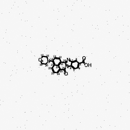 O=C(O)c1ccc2c(c1)nc1c3ccc(N4CCOCC4)c4cccc(c(=O)n21)c43